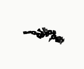 COC1CCN(c2ccc3cc(-c4oc5cc(C(=O)N6C[C@H](F)C[C@@H](N(C(=O)O)C(C)(C)C)C6)ccc5c4C)n(CC4CC4)c3c2)CC1